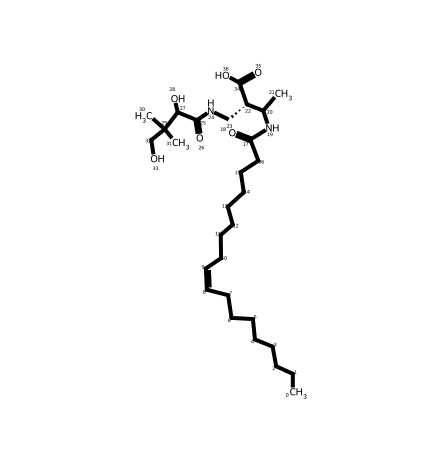 CCCCCCCC/C=C\CCCCCCCC(=O)NC(C)[C@H](CNC(=O)C(O)C(C)(C)CO)C(=O)O